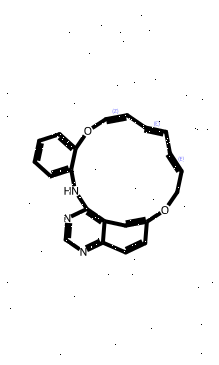 C1=C\Oc2ccccc2Nc2ncnc3ccc(cc23)OC/C=C/C=C/1